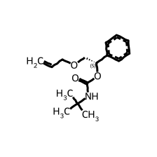 C=CCOC[C@@H](OC(=O)NC(C)(C)C)c1ccccc1